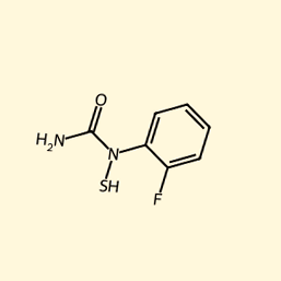 NC(=O)N(S)c1ccccc1F